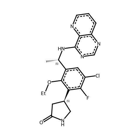 CCOc1c([C@H](C)Nc2ncnc3cccnc23)cc(Cl)c(F)c1[C@H]1CNC(=O)C1